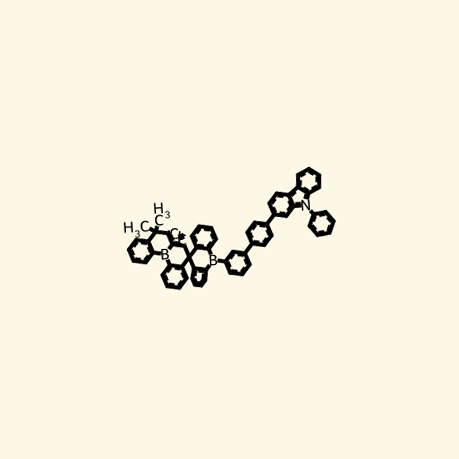 CC1(C)c2ccccc2B2c3ccccc3C3(c4ccccc4B(c4cccc(-c5ccc(-c6ccc7c8ccccc8n(-c8ccccc8)c7c6)cc5)c4)c4ccccc43)c3cccc1c32